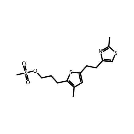 Cc1nc(CCc2cc(C)c(CCCOS(C)(=O)=O)s2)cs1